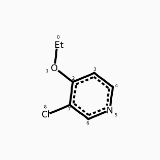 CCOc1ccncc1Cl